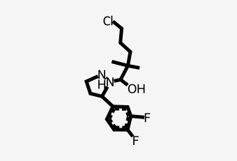 CC(C)(CCCCl)C(O)N1NCCC1c1ccc(F)c(F)c1